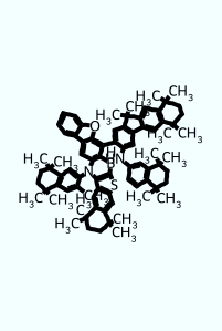 Cc1cc2c(cc1N1c3cc4c(oc5ccccc54)c(-c4cc5c(cc4Nc4ccc6c(c4)C(C)(C)CCC6(C)C)-c4cc6c(cc4C5(C)C)C(C)(C)CCC6(C)C)c3Bc3sc4cc5c(cc4c31)C(C)(C)CCC5(C)C)C(C)(C)CCC2(C)C